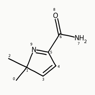 CC1(C)C=CC(C(N)=O)=N1